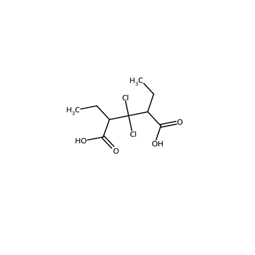 CCC(C(=O)O)C(Cl)(Cl)C(CC)C(=O)O